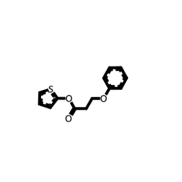 O=C(CCOc1ccccc1)Oc1cccs1